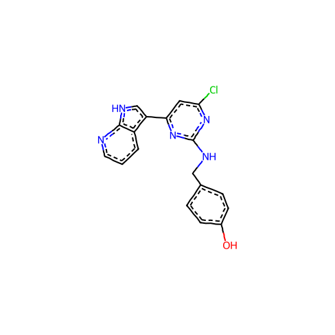 Oc1ccc(CNc2nc(Cl)cc(-c3c[nH]c4ncccc34)n2)cc1